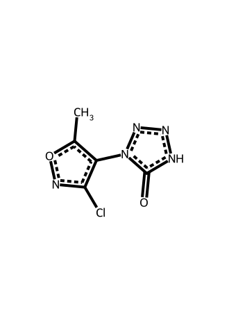 Cc1onc(Cl)c1-n1nn[nH]c1=O